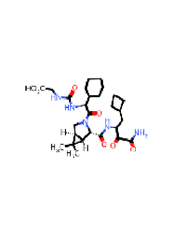 CC1(C)[C@@H]2[C@@H](C(=O)NC(CC3CCC3)C(=O)C(N)=O)N(C(=O)[C@@H](NC(=O)NCC(=O)O)C3CCCCC3)C[C@@H]21